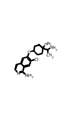 CCCC1(C(C)N)CCC(Oc2cc3ccnc(N)c3cc2Cl)CC1